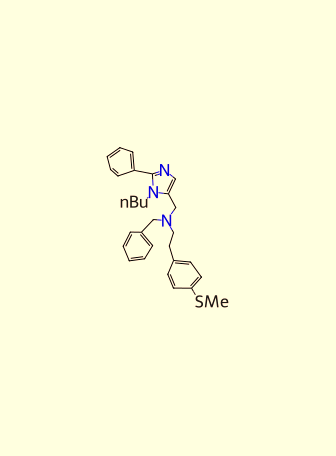 CCCCn1c(CN(CCc2ccc(SC)cc2)Cc2ccccc2)cnc1-c1ccccc1